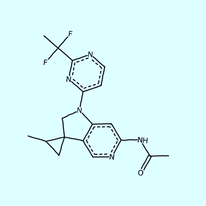 CC(=O)Nc1cc2c(cn1)C1(CC1C)CN2c1ccnc(C(C)(F)F)n1